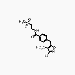 CCc1noc(Cc2ccc(C(=O)NCCS(C)(=O)=O)cc2)c1C(=O)O